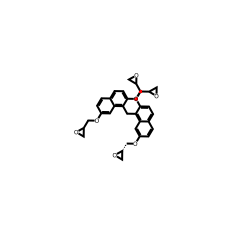 c1cc2ccc(OCC3CO3)c(Cc3c(OCC4CO4)ccc4ccc(OC[C@@H]5CO5)cc34)c2cc1OCC1CO1